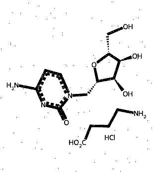 Cl.NCCCC(=O)O.Nc1ccn(C[C@@H]2O[C@H](CO)[C@@H](O)[C@H]2O)c(=O)n1